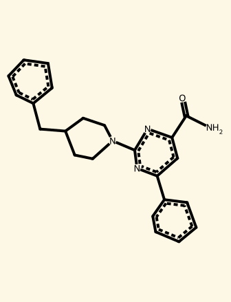 NC(=O)c1cc(-c2ccccc2)nc(N2CCC(Cc3ccccc3)CC2)n1